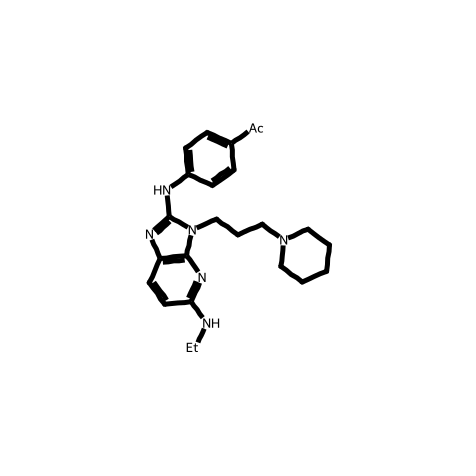 CCNc1ccc2nc(Nc3ccc(C(C)=O)cc3)n(CCCN3CCCCC3)c2n1